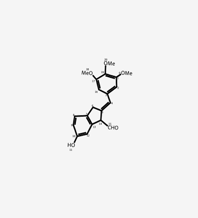 COc1cc(/C=C2\Cc3ccc(O)cc3C2C=O)cc(OC)c1OC